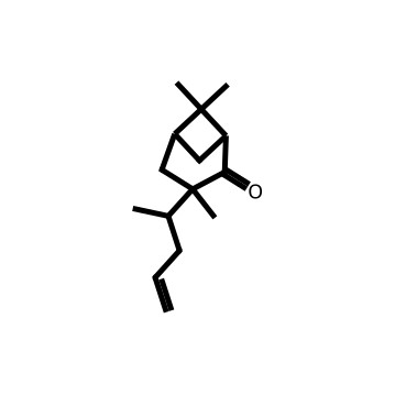 C=CCC(C)C1(C)CC2CC(C1=O)C2(C)C